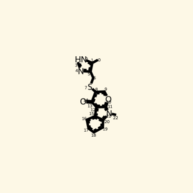 Cc1[nH]cnc1CSc1coc2c(c1=O)c1ccccc1n2C